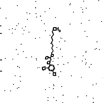 CCCCCCCCCCOC(=O)COc1ccc(Cl)cc1Cl